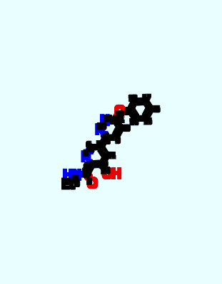 CCNC(=O)c1ncc(-c2ccc(Oc3ccccc3)nn2)cc1O